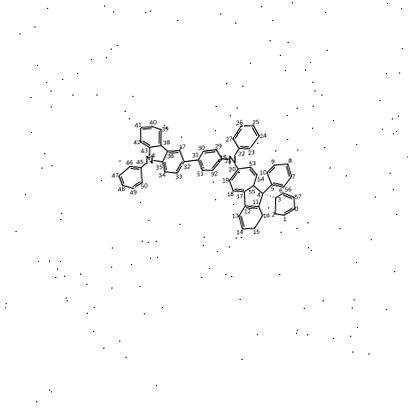 C1=CCC([C@]2(c3ccccc3)C3=C(C=CCC3)C3=CC=C(N(c4ccccc4)c4ccc(-c5ccc6c(c5)c5ccccc5n6-c5ccccc5)cc4)C=CC32)C=C1